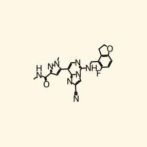 CNC(=O)c1cc(-c2cnc(NCc3c(F)ccc4c3CCO4)n3cc(C#N)nc23)n(C)n1